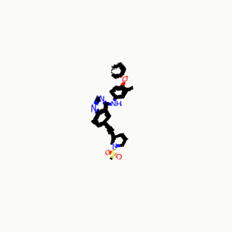 Cc1cc(Nc2ncnc3ccc(C#CC4=CN(S(C)(=O)=O)CCC4)cc23)ccc1Oc1ccccc1